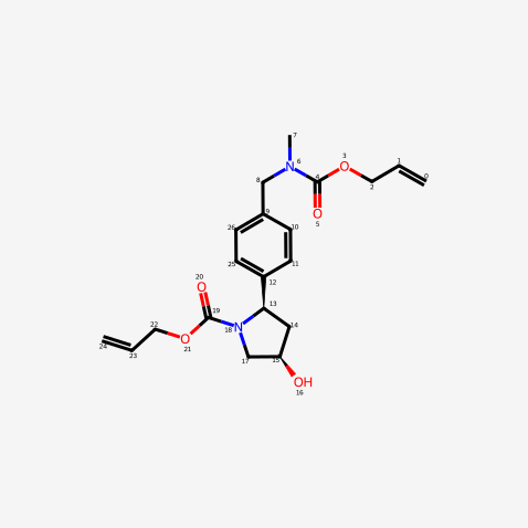 C=CCOC(=O)N(C)Cc1ccc([C@H]2C[C@@H](O)CN2C(=O)OCC=C)cc1